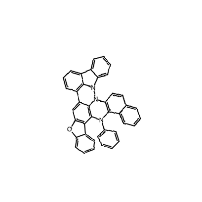 c1ccc(-n2c3c4c(cc5oc6ccccc6c53)c3cccc5c6ccccc6n(c35)n-4c3ccc4ccccc4c32)cc1